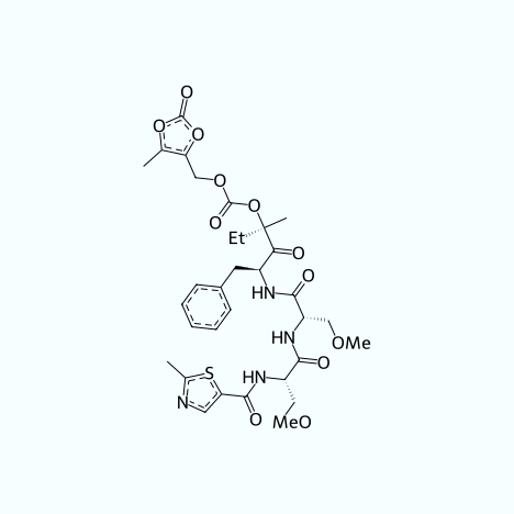 CC[C@@](C)(OC(=O)OCc1oc(=O)oc1C)C(=O)[C@H](Cc1ccccc1)NC(=O)[C@H](COC)NC(=O)[C@H](COC)NC(=O)c1cnc(C)s1